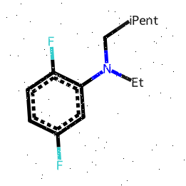 CCCC(C)CN(CC)c1cc(F)ccc1F